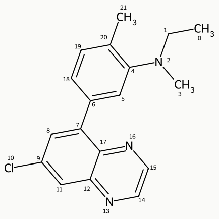 CCN(C)c1cc(-c2cc(Cl)cc3nccnc23)ccc1C